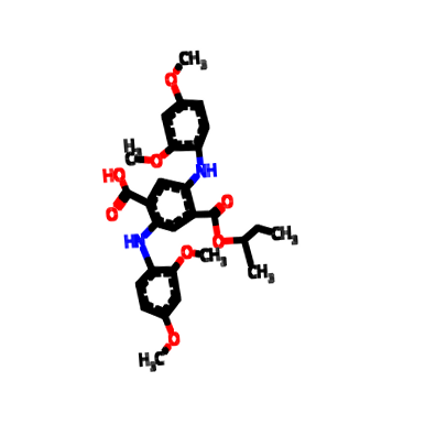 CCC(C)OC(=O)c1cc(Nc2ccc(OC)cc2OC)c(C(=O)O)cc1Nc1ccc(OC)cc1OC